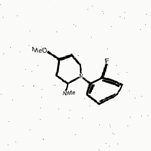 CNC1CC(OC)CCN1c1ccccc1F